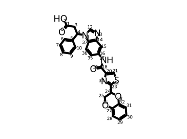 O=C(O)CC(c1ccccc1)n1cnc2cc(NC(=O)c3csc(C4COc5ccccc5O4)n3)ccc21